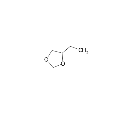 [CH2]CC1COCO1